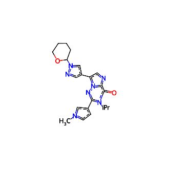 CC(C)n1c(-c2ccn(C)c2)nn2c(-c3cnn(C4CCCCO4)c3)cnc2c1=O